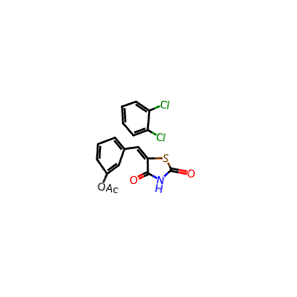 CC(=O)Oc1cccc(C=C2SC(=O)NC2=O)c1.Clc1ccccc1Cl